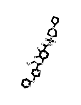 CC[C@@H](Oc1ccc(C(=O)NS(=O)(=O)N2CCN(C3CCCC3)CC2)c(F)c1F)c1ccc(Oc2ccccn2)cn1